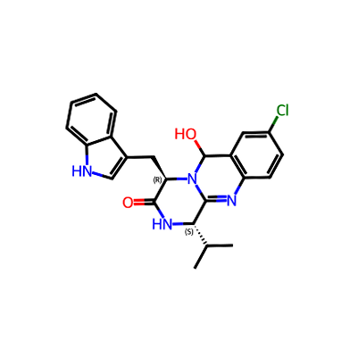 CC(C)[C@@H]1NC(=O)[C@@H](Cc2c[nH]c3ccccc23)N2C1=Nc1ccc(Cl)cc1C2O